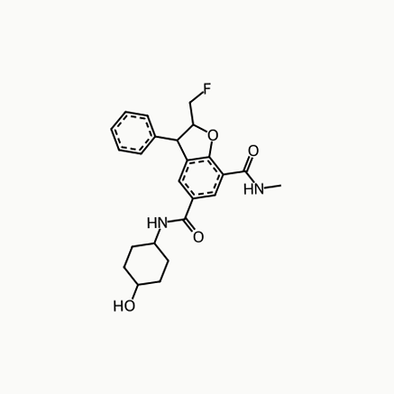 CNC(=O)c1cc(C(=O)NC2CCC(O)CC2)cc2c1OC(CF)C2c1ccccc1